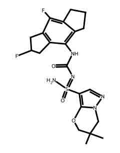 CC1(C)COc2c(S(N)(=O)=NC(=O)Nc3c4c(c(F)c5c3CC(F)C5)CCC4)cnn2C1